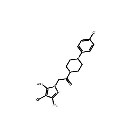 CCCCc1c(Cl)c(C(F)(F)F)nn1CC(=O)N1CCN(c2ccc(Cl)cc2)CC1